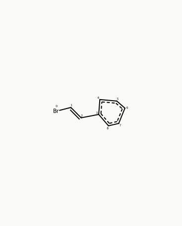 Br/[C]=C/c1ccccc1